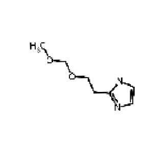 COCOCCC1=NC=C[N]1